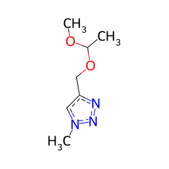 COC(C)OCc1cn(C)nn1